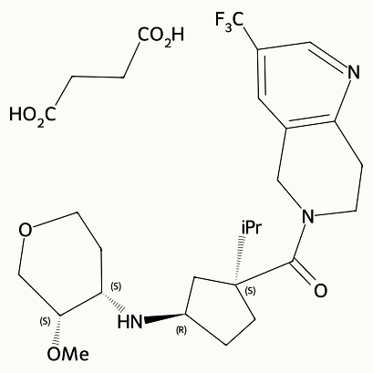 CO[C@@H]1COCC[C@@H]1N[C@@H]1CC[C@@](C(=O)N2CCc3ncc(C(F)(F)F)cc3C2)(C(C)C)C1.O=C(O)CCC(=O)O